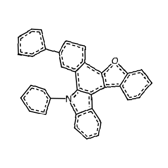 c1ccc(-c2ccc3c(c2)c2c(c4ccccc4n2-c2ccccc2)c2c4ccccc4oc32)cc1